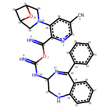 N#Cc1cnc(C(=N)OC(=N)NC2CNc3ccccc3C(c3ccccc3)=N2)c(N2CC3CC(C2)O3)c1